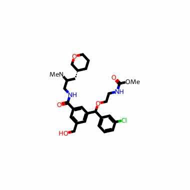 CNC(CNC(=O)c1cc(CO)cc(C(OCCNC(=O)OC)c2cccc(Cl)c2)c1)C[C@H]1CCCOC1